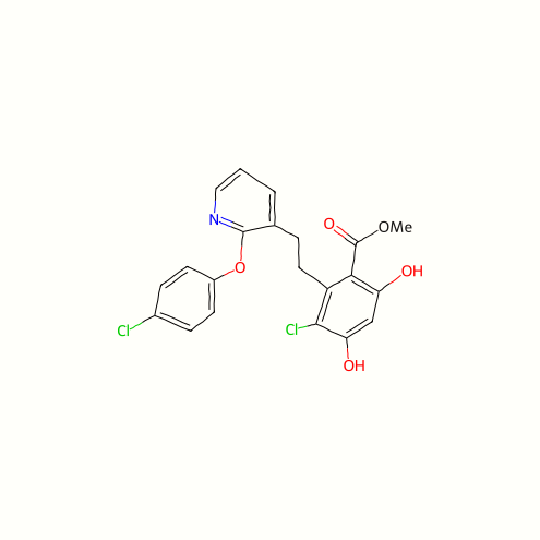 COC(=O)c1c(O)cc(O)c(Cl)c1CCc1cccnc1Oc1ccc(Cl)cc1